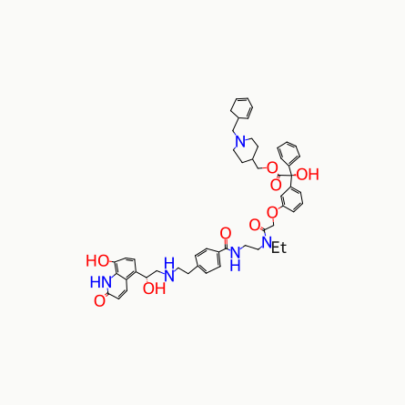 CCN(CCNC(=O)c1ccc(CCNC[C@H](O)c2ccc(O)c3[nH]c(=O)ccc23)cc1)C(=O)COc1cccc([C@](O)(C(=O)OCC2CCN(CC3C=CC=CC3)CC2)c2ccccc2)c1